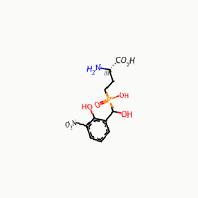 N[C@@H](CCP(=O)(O)C(O)c1cccc([N+](=O)[O-])c1O)C(=O)O